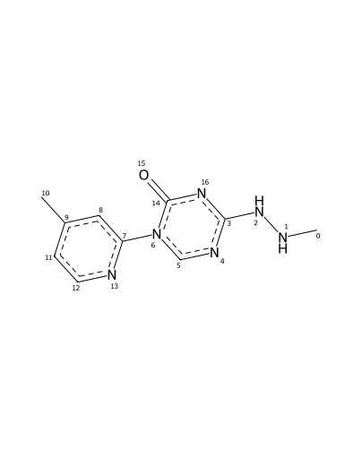 CNNc1ncn(-c2cc(C)ccn2)c(=O)n1